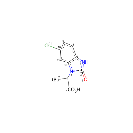 CC(C)(C)C(C(=O)O)n1c(=O)[nH]c2ccc(Cl)cc21